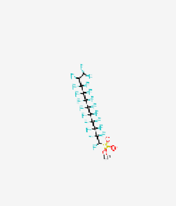 O=S(=O)([O-])C(F)C(F)(F)C(F)(F)C(F)(F)C(F)(F)C(F)(F)C(F)(F)C(F)(F)C(F)(F)C(F)C(F)F.[Li+]